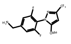 COc1cc(C(F)(F)F)nn1-c1c(F)cc(CN)cc1F